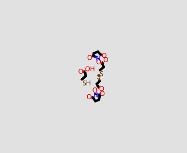 O=C(CCSSCCC(=O)ON1C(=O)CCC1=O)ON1C(=O)CCC1=O.O=C(O)CCS